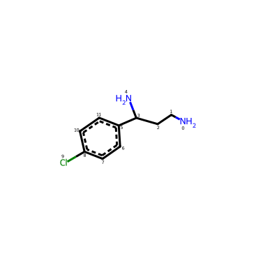 NCCC(N)c1ccc(Cl)cc1